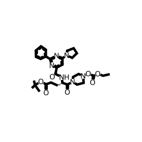 CCOC(=O)ON1CCN(C(=O)[C@H](CCC(=O)OC(C)(C)C)NC(=O)c2cc(N3CCCC3)nc(-c3ccccc3)n2)CC1